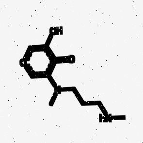 CNCCCN(C)c1cocc(O)c1=O